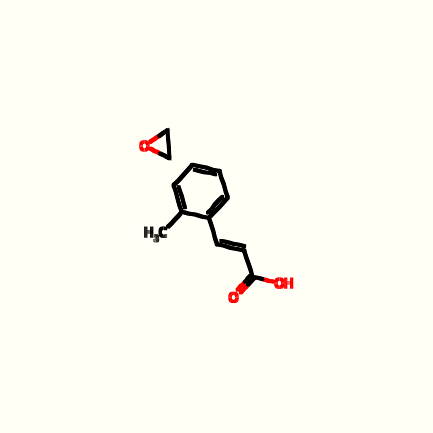 C1CO1.Cc1ccccc1C=CC(=O)O